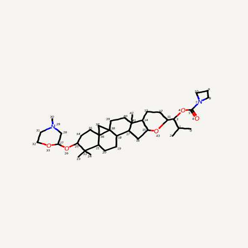 CC(C)C(OC(=O)N1CCC1)C1CCC2C(CC3C4CCC5C(C)(C)C(OC6CN(C)CCO6)CCC56CC46CCC23C)O1